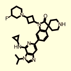 CC(C)n1cnc2cc(-c3ccc4c(c3)N(C3CC(N5CCC[C@H](F)C5)C3)C(=O)C43CCNCC3)nc(NC3CC3)c21